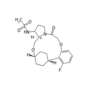 CS(=O)(=O)NC1CCN2C(=O)COc3cccc(F)c3[C@H]3CC[C@H](CC3)OC[C@@H]12